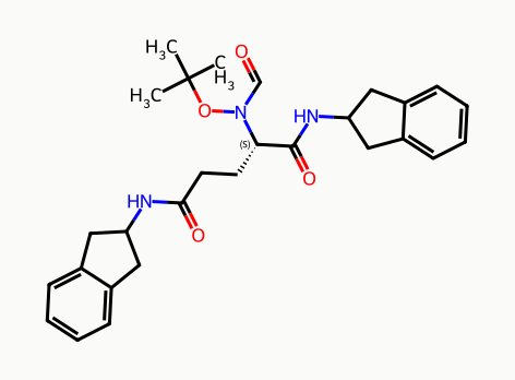 CC(C)(C)ON(C=O)[C@@H](CCC(=O)NC1Cc2ccccc2C1)C(=O)NC1Cc2ccccc2C1